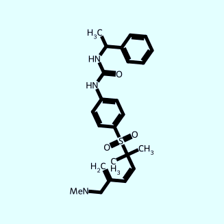 C=C(/C=C\C(C)(C)S(=O)(=O)c1ccc(NC(=O)NC(C)c2ccccc2)cc1)CNC